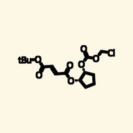 CC(C)(C)OC(=O)/C=C/C(=O)O[C@H]1CCC[C@H]1OC(=O)OCCl